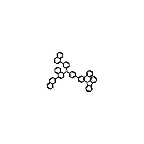 c1ccc(-c2cc(-c3ccc(N(c4cccc(-c5cccc6ccccc56)c4)c4ccc(-c5ccc6ccccc6c5)c5ccccc45)cc3)ccc2-n2c3ccccc3c3ccccc32)cc1